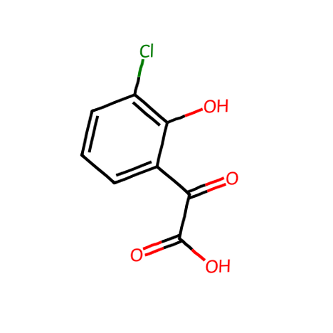 O=C(O)C(=O)c1cccc(Cl)c1O